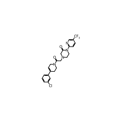 O=C(CN1CCN(c2ccc(C(F)(F)F)cn2)C(=O)C1)N1CC=C(c2cccc(Cl)c2)CC1